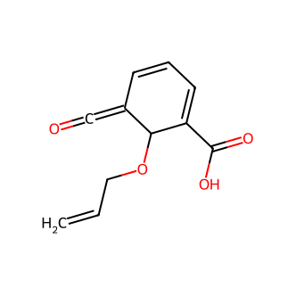 C=CCOC1C(=C=O)C=CC=C1C(=O)O